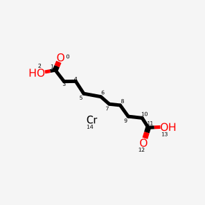 O=C(O)CCCCCCCCC(=O)O.[Cr]